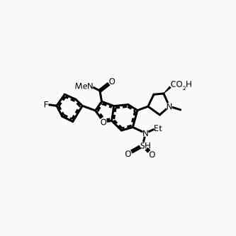 CCN(c1cc2oc(-c3ccc(F)cc3)c(C(=O)NC)c2cc1C1C[C@@H](C(=O)O)N(C)C1)[SH](=O)=O